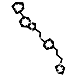 c1ccc(-c2ccc3nc(COc4ccc(CCCn5ccnc5)cc4)cn3c2)cc1